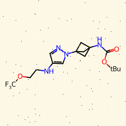 CC(C)(C)OC(=O)NC12CC(n3cc(NCCOC(F)(F)F)cn3)(C1)C2